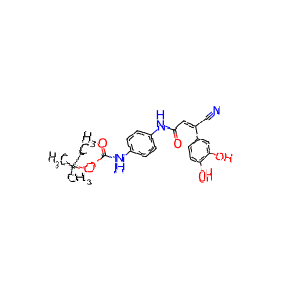 CC(C)(C)OC(=O)Nc1ccc(NC(=O)/C=C(/C#N)c2ccc(O)c(O)c2)cc1